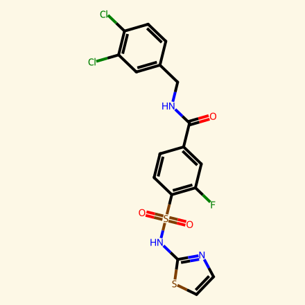 O=C(NCc1ccc(Cl)c(Cl)c1)c1ccc(S(=O)(=O)Nc2nccs2)c(F)c1